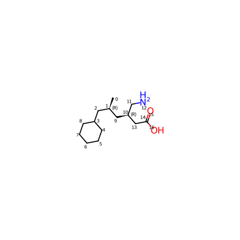 C[C@H](CC1CCCCC1)C[C@@H](CN)CC(=O)O